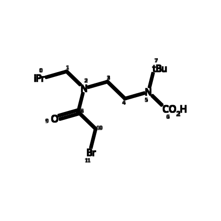 CC(C)CN(CCN(C(=O)O)C(C)(C)C)C(=O)CBr